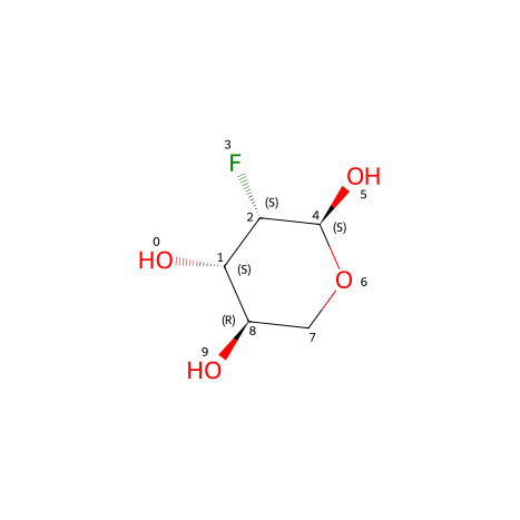 O[C@@H]1[C@H](F)[C@@H](O)OC[C@H]1O